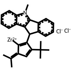 CC(C)=C1C=C(C(C)(C)C)C(C2c3ccccc3-c3c2c2ccccc2n3C)=[C]1[Zr+2].[Cl-].[Cl-]